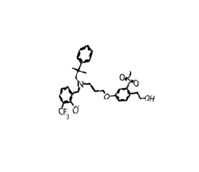 CC(C)(CN(CCCOc1ccc(CCO)c(S(C)(=O)=O)c1)Cc1cccc(C(F)(F)F)c1Cl)c1ccccc1